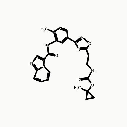 Cc1ccc(-c2noc(CCNC(=O)OC3(C)CC3)n2)cc1NC(=O)c1cnc2ccccn12